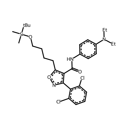 CCN(CC)c1ccc(NC(=O)c2c(-c3c(Cl)cccc3Cl)noc2CCCCO[Si](C)(C)C(C)(C)C)cc1